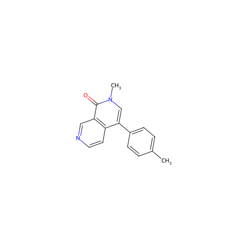 Cc1ccc(-c2cn(C)c(=O)c3cnccc23)cc1